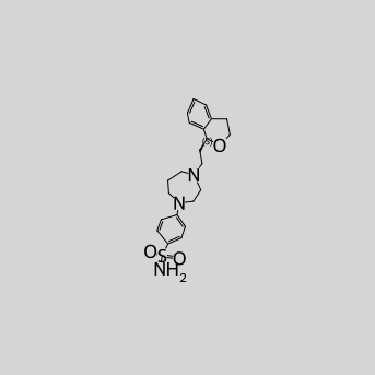 NS(=O)(=O)c1ccc(N2CCCN(CC[C@@H]3OCCc4ccccc43)CC2)cc1